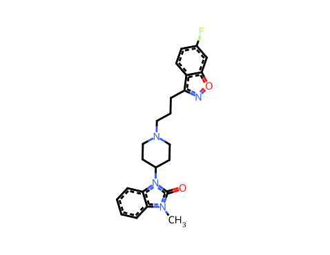 Cn1c(=O)n(C2CCN(CCCc3noc4cc(F)ccc34)CC2)c2ccccc21